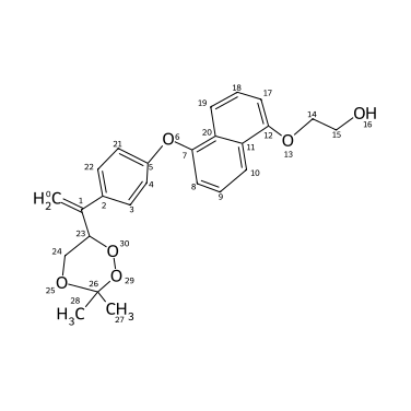 C=C(c1ccc(Oc2cccc3c(OCCO)cccc23)cc1)C1COC(C)(C)OO1